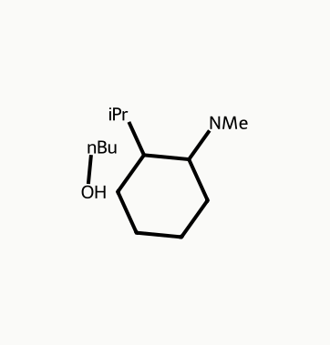 CCCCO.CNC1CCCCC1C(C)C